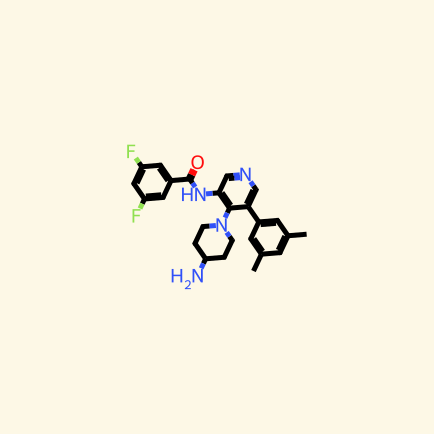 Cc1cc(C)cc(-c2cncc(NC(=O)c3cc(F)cc(F)c3)c2N2CCC(N)CC2)c1